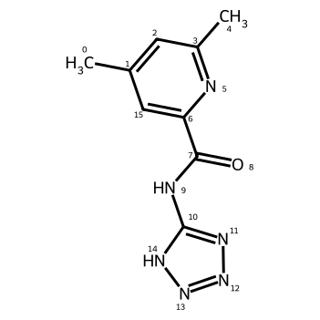 Cc1cc(C)nc(C(=O)Nc2nnn[nH]2)c1